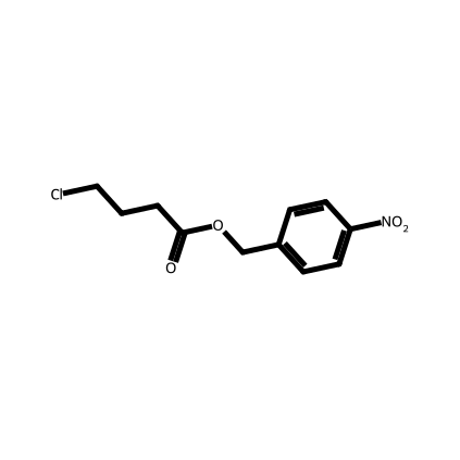 O=C(CCCCl)OCc1ccc([N+](=O)[O-])cc1